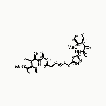 C=C/C(=C(\C)OC)C(C)C(=O)NC(=C)SC(=C)CCSCCc1nnc(NC(=O)C(C)C(=C/C)/C(=C\C)OC)s1